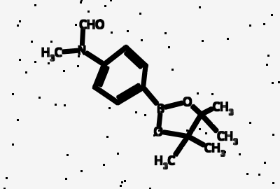 CN(C=O)c1ccc(B2OC(C)(C)C(C)(C)O2)cc1